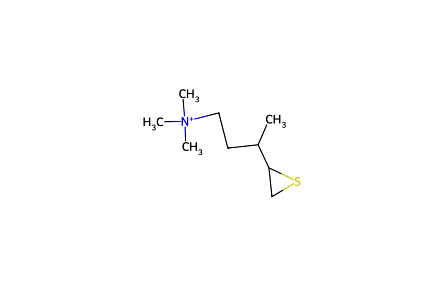 CC(CC[N+](C)(C)C)C1CS1